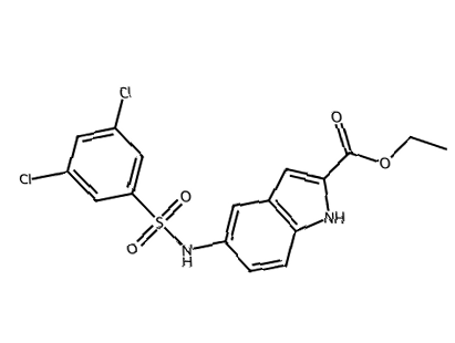 CCOC(=O)c1cc2cc(NS(=O)(=O)c3cc(Cl)cc(Cl)c3)ccc2[nH]1